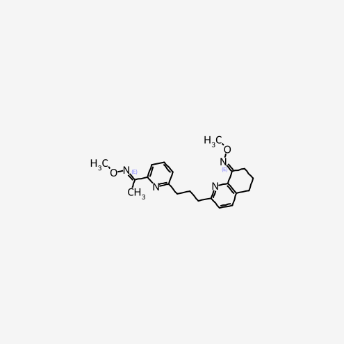 CO/N=C(\C)c1cccc(CCCc2ccc3c(n2)/C(=N/OC)CCC3)n1